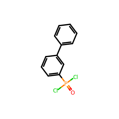 O=P(Cl)(Cl)c1cccc(-c2ccccc2)c1